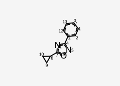 [c]1ccc(-c2noc(C3CC3)n2)cc1